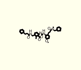 COc1ccc(CCC(=O)N(C)Cc2ccccc2)c(Nc2nc3ccc(CNC(=O)CCc4ccccc4)c(C)c3c(=O)o2)c1